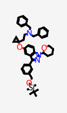 CC(C)(C)[Si](C)(C)OCc1cccc(-c2nn(C3CCCCO3)c3ccc(OC4(CCN(Cc5ccccc5)Cc5ccccc5)CC4)cc23)c1